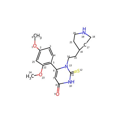 COc1ccc(-c2cc(=O)[nH]c(=S)n2CCC2CCNCC2)c(OC)c1